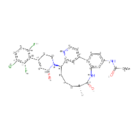 COC(=O)Nc1ccc2c(c1)NC(=O)[C@H](C)CCC[C@@H](N1CCC(c3c(F)ccc(Cl)c3F)=CC1=O)c1cc-2ccn1